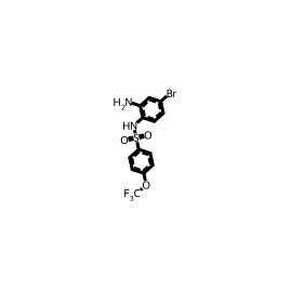 Nc1cc(Br)ccc1NS(=O)(=O)c1ccc(OC(F)(F)F)cc1